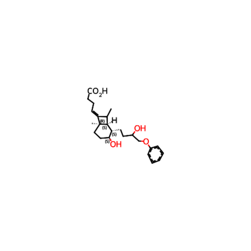 CC1C(=CCCC(=O)O)[C@]2(C)CC[C@H](O)[C@@H](CCC(O)COc3ccccc3)[C@H]12